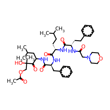 CC(=O)OCC(C)(O)C(=O)C(CC(C)C)NC(=O)[C@H](Cc1ccccc1)NC(=O)[C@H](CCC(C)C)NC(=O)[C@H](CCc1ccccc1)NC(=O)CN1CCOCC1